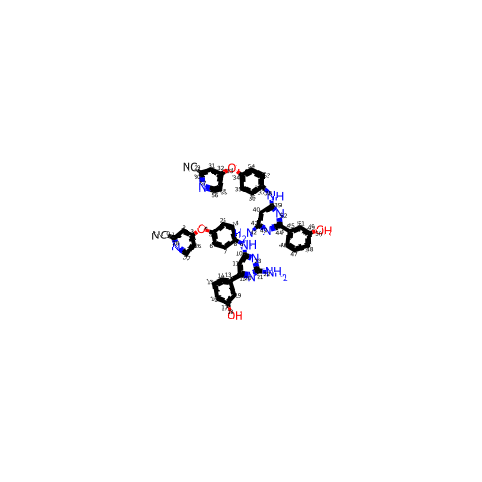 N#Cc1cc(Oc2ccc(Nc3cc(-c4cccc(O)c4)nc(N)n3)cc2)ccn1.N#Cc1cc(Oc2ccc(Nc3cc(N)nc(-c4cccc(O)c4)n3)cc2)ccn1